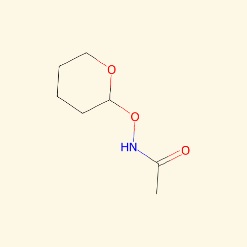 CC(=O)NOC1CCCCO1